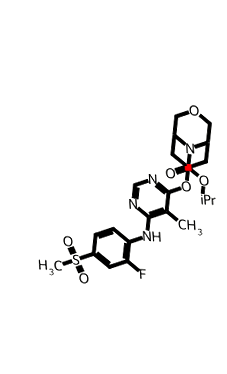 Cc1c(Nc2ccc(S(C)(=O)=O)cc2F)ncnc1OC1CC2COCC(C1)N2C(=O)OC(C)C